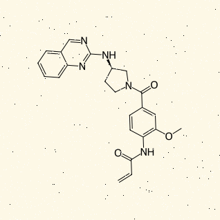 C=CC(=O)Nc1ccc(C(=O)N2CC[C@@H](Nc3ncc4ccccc4n3)C2)cc1OC